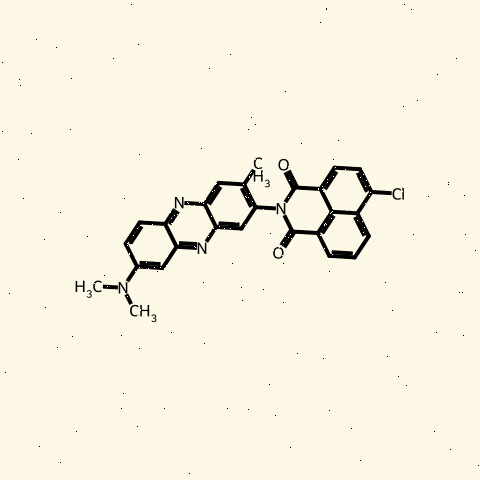 Cc1cc2nc3ccc(N(C)C)cc3nc2cc1N1C(=O)c2cccc3c(Cl)ccc(c23)C1=O